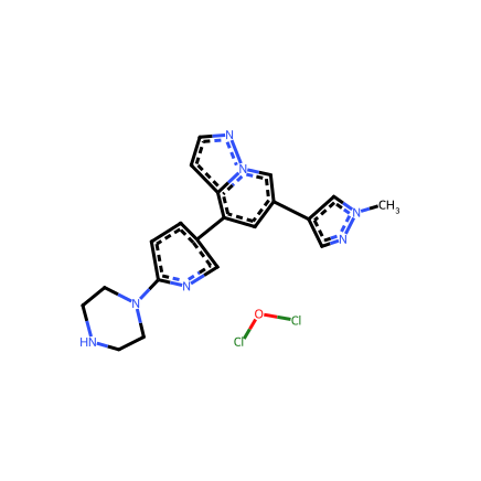 ClOCl.Cn1cc(-c2cc(-c3ccc(N4CCNCC4)nc3)c3ccnn3c2)cn1